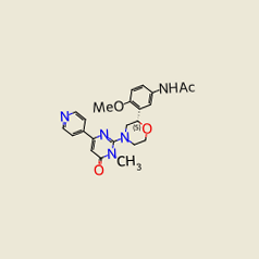 COc1ccc(NC(C)=O)cc1[C@H]1CN(c2nc(-c3ccncc3)cc(=O)n2C)CCO1